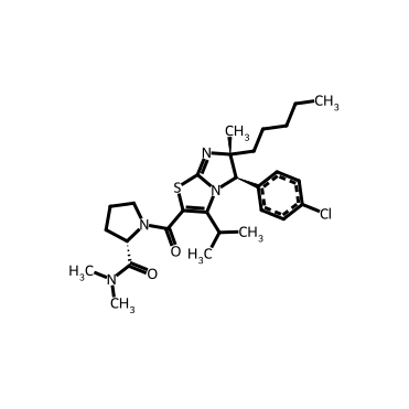 CCCCC[C@@]1(C)N=C2SC(C(=O)N3CCC[C@H]3C(=O)N(C)C)=C(C(C)C)N2[C@@H]1c1ccc(Cl)cc1